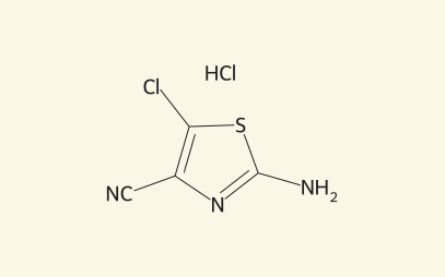 Cl.N#Cc1nc(N)sc1Cl